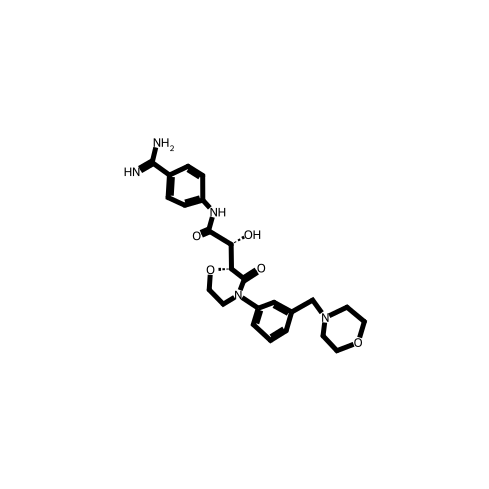 N=C(N)c1ccc(NC(=O)[C@H](O)[C@H]2OCCN(c3cccc(CN4CCOCC4)c3)C2=O)cc1